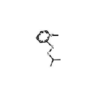 CC(C)SSc1cccc[n+]1C